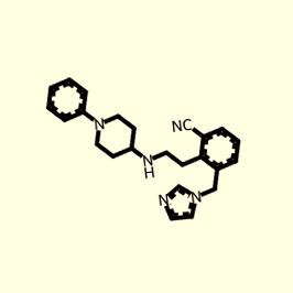 N#Cc1cccc(Cn2ccnc2)c1CCNC1CCN(c2ccccc2)CC1